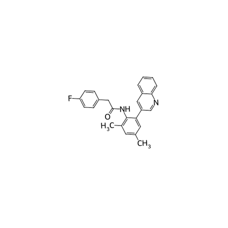 Cc1cc(C)c(NC(=O)Cc2ccc(F)cc2)c(-c2cnc3ccccc3c2)c1